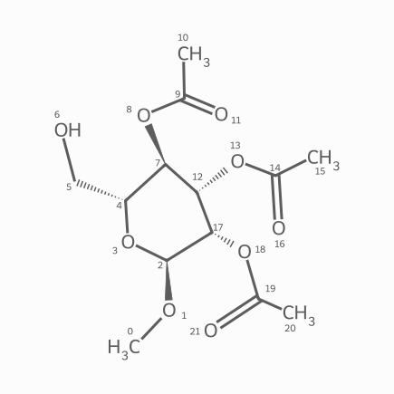 CO[C@H]1O[C@H](CO)[C@@H](OC(C)=O)[C@H](OC(C)=O)[C@@H]1OC(C)=O